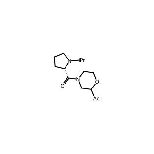 CC(=O)C1CN(C(=O)[C@@H]2CCCN2C(C)C)CCO1